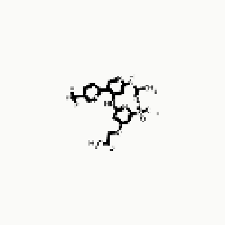 CC(=O)Nc1cc(Nc2cc(OCC(C)O)cc(S(C)(=O)=O)n2)c(-c2ccc(C(F)(F)F)cn2)cn1